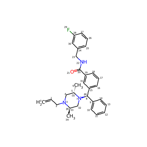 C=CCN1C[C@H](C)N([C@H](c2c[c]ccc2)c2cccc(C(=O)NCc3cccc(F)c3)c2)C[C@H]1C